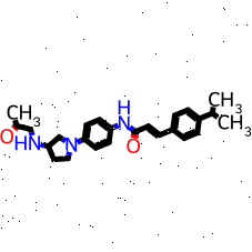 CC(=O)CNC1CCN(c2ccc(NC(=O)C=Cc3ccc(C(C)C)cc3)cc2)C1